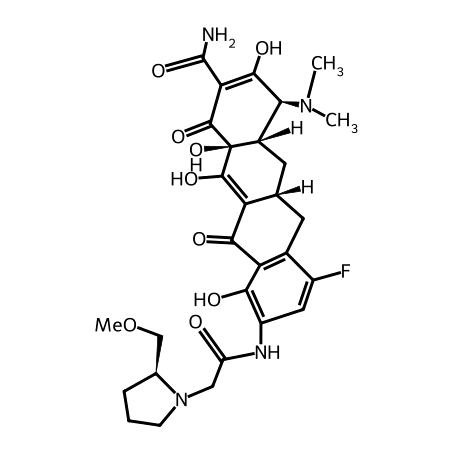 COC[C@@H]1CCCN1CC(=O)Nc1cc(F)c2c(c1O)C(=O)C1=C(O)[C@]3(O)C(=O)C(C(N)=O)=C(O)[C@@H](N(C)C)[C@@H]3C[C@@H]1C2